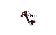 Cc1ncsc1-c1ccc(C(C)NC(=O)[C@@H]2C[C@@H](O)CN2C(=O)C(c2cc(N3CCN(CCN4CCC(OC5CC(Oc6cc(N7C8CCC7CN(c7cc(-c9ccccc9O)nnc7N)C8)ccn6)C5)CC4)CC3)no2)C(C)C)cc1.O=CO